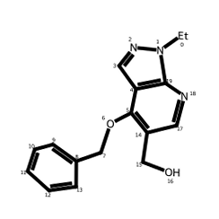 CCn1ncc2c(OCc3ccccc3)c(CO)cnc21